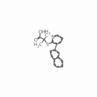 CC(C)(Sc1ncccc1-c1ccc2ccccc2c1)C(=O)O